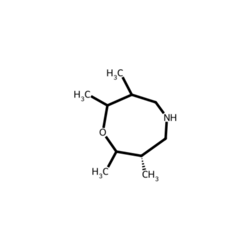 CC1CNC[C@H](C)C(C)OC1C